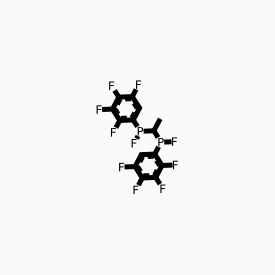 CC(P(F)c1cc(F)c(F)c(F)c1F)P(F)c1cc(F)c(F)c(F)c1F